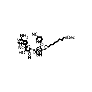 CCCCCCCCCCCCCCCCCCOC[C@H](COc1ccc(C#N)cn1)OP(=O)(O)OC[C@H]1O[C@@](C#N)(c2ccc3c(N)ncnn23)[C@H](O)[C@@H]1O